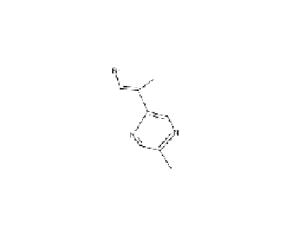 CC(=CBr)c1cnc(C)cn1